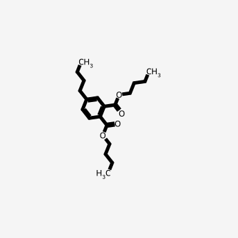 CCCCOC(=O)c1ccc(CCCC)cc1C(=O)OCCCC